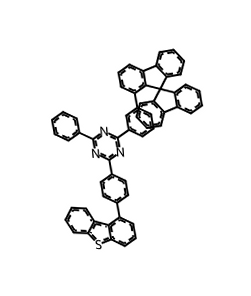 c1ccc(-c2nc(-c3ccc(-c4cccc5sc6ccccc6c45)cc3)nc(-c3cccc(-c4cccc5c4C4(c6ccccc6-c6ccccc64)c4ccccc4-5)c3)n2)cc1